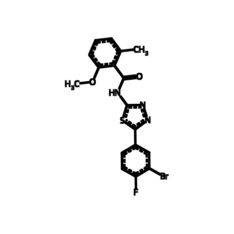 COc1cccc(C)c1C(=O)Nc1nnc(-c2ccc(F)c(Br)c2)s1